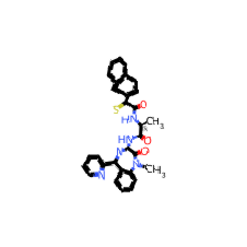 C[C@H](NC(=O)C(=S)c1ccc2ccccc2c1)C(=O)NC1N=C(c2ccccn2)c2ccccc2N(C)C1=O